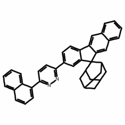 c1ccc2cc3c(cc2c1)-c1ccc(-c2ccc(-c4cccc5ccccc45)nn2)cc1C31C2CC3CC(C2)CC1C3